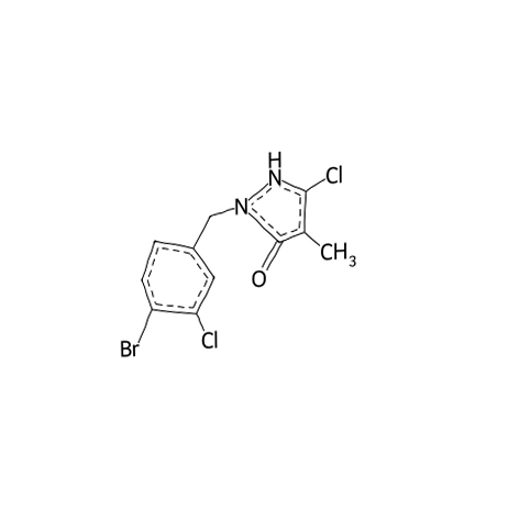 Cc1c(Cl)[nH]n(Cc2ccc(Br)c(Cl)c2)c1=O